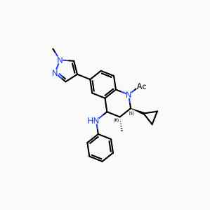 CC(=O)N1c2ccc(-c3cnn(C)c3)cc2C(Nc2ccccc2)[C@@H](C)[C@@H]1C1CC1